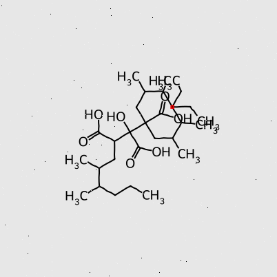 CCCC(C)C(C)CC(C(=O)O)C(O)(C(=O)O)C(CC(C)C(C)CCC)(CC(C)C(C)CCC)C(=O)O